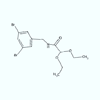 CCOC(OCC)C(=O)NCc1cc(Br)cc(Br)c1